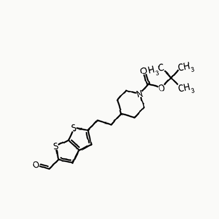 CC(C)(C)OC(=O)N1CCC(CCc2cc3cc(C=O)sc3s2)CC1